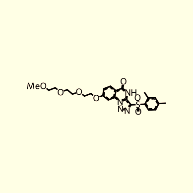 COCCOCCOCCOc1ccc2c(=O)[nH]c3c(S(=O)(=O)c4ccc(C)cc4C)nnn3c2c1